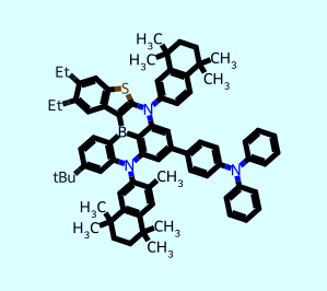 CCc1cc2sc3c(c2cc1CC)B1c2ccc(C(C)(C)C)cc2N(c2cc4c(cc2C)C(C)(C)CCC4(C)C)c2cc(-c4ccc(N(c5ccccc5)c5ccccc5)cc4)cc(c21)N3c1ccc2c(c1)C(C)(C)CCC2(C)C